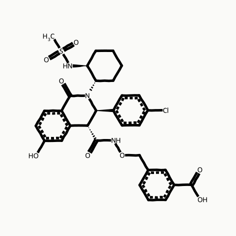 CS(=O)(=O)N[C@H]1CCCC[C@@H]1N1C(=O)c2ccc(O)cc2[C@@H](C(=O)NOCc2cccc(C(=O)O)c2)[C@@H]1c1ccc(Cl)cc1